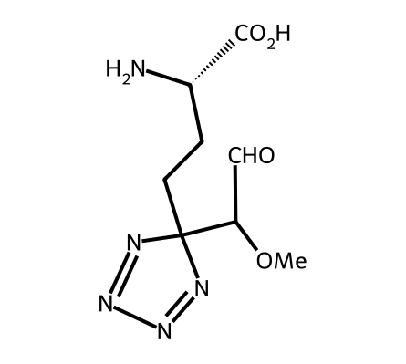 COC(C=O)C1(CC[C@H](N)C(=O)O)N=NN=N1